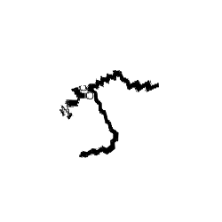 CCCCC/C=C\C/C=C\CCCCCCCCC1(CCCCCCCC/C=C\CCCCCCCC)OC[C@H](CCN(C)C)O1